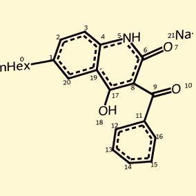 CCCCCCc1ccc2[nH]c(=O)c(C(=O)c3ccccc3)c(O)c2c1.[Na]